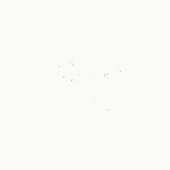 COc1ccc(C(c2ccc3[nH]c(=O)c(C)nc3c2)n2ccnc2)cc1